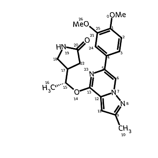 COc1ccc(-c2cn3nc(C)cc3c(O[C@H](C)C3CNC(=O)C3)n2)cc1OC